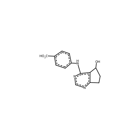 O=C(O)c1ccc(Nc2ncnc3c2C(O)CC3)cc1